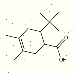 CC1=C(C)CC(C(C)(C)C)C(C(=O)O)C1